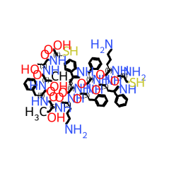 CC(O)[C@H](NC(=O)[C@H](Cc1ccccc1)NC(=O)[C@@H](NC(=O)[C@H](CCCCN)NC(=O)[C@@H](Cc1c[nH]c2ccccc12)NC(=O)[C@H](Cc1ccccc1)NC(=O)[C@H](Cc1ccccc1)NC(=O)[C@H](Cc1c[nH]c2ccccc12)NC(=O)[C@@H](CCCCN)NC(=O)[C@@H](N)CS)C(C)O)C(=O)N[C@@H](CO)C(=O)N[C@@H](CS)C(=O)O